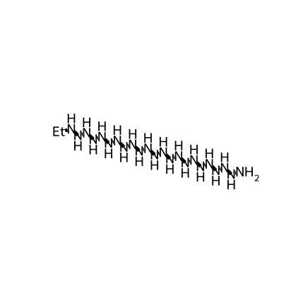 CCNNNNNNNNNNNNNNNNNNNNNNN